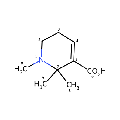 CN1CCC=C(C(=O)O)C1(C)C